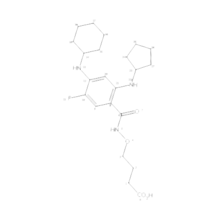 O=C(O)CCCONC(=O)c1cc(F)c(NC2CCCCC2)cc1NC1CCCC1